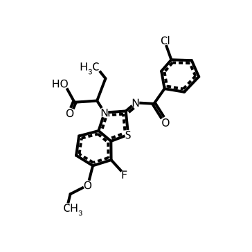 CCOc1ccc2c(s/c(=N\C(=O)c3cccc(Cl)c3)n2C(CC)C(=O)O)c1F